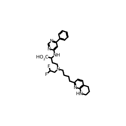 O=C(O)C(CCN(CCCCc1ccc2c(n1)NCCC2)CC(F)F)Nc1cc(-c2ccccc2)ncn1